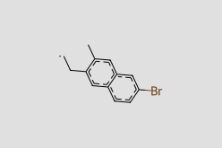 [CH2]Cc1cc2ccc(Br)cc2cc1C